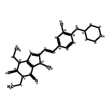 CCn1c(=O)c2c(nc(/C=C/c3ccc(OC4CCOCC4)c(Cl)c3)n2C)n(CC)c1=O